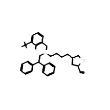 O=CC1CC(CCCCN(Cc2cccc(C(F)(F)F)c2Cl)CC(c2ccccc2)c2ccccc2)CN1